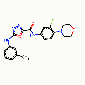 Cc1cccc(Nc2nnc(C(=O)Nc3ccc(N4CCOCC4)c(F)c3)o2)c1